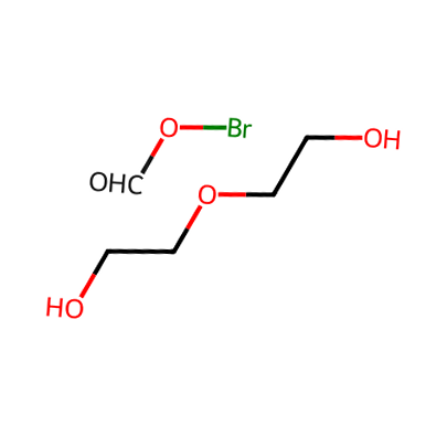 O=COBr.OCCOCCO